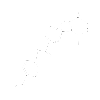 CC1CNC(=O)c2[nH]c3ccc(C(=O)Nc4ccc(C(N)=O)cc4)cc3c21